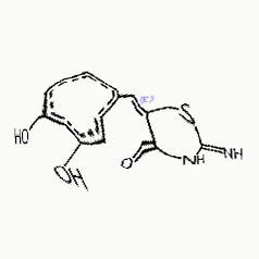 N=C1NC(=O)/C(=C\c2ccc(O)c(O)c2)S1